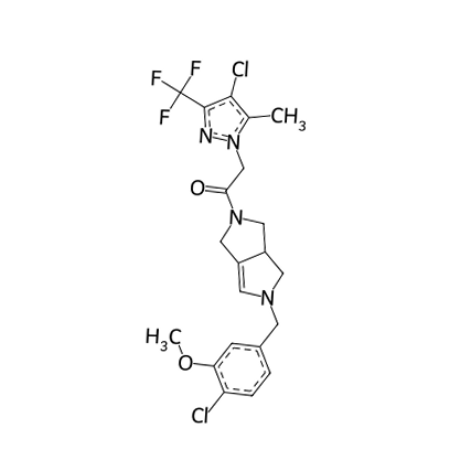 COc1cc(CN2C=C3CN(C(=O)Cn4nc(C(F)(F)F)c(Cl)c4C)CC3C2)ccc1Cl